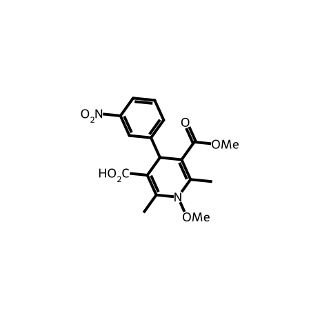 COC(=O)C1=C(C)N(OC)C(C)=C(C(=O)O)C1c1cccc([N+](=O)[O-])c1